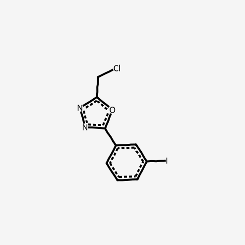 ClCc1nnc(-c2cccc(I)c2)o1